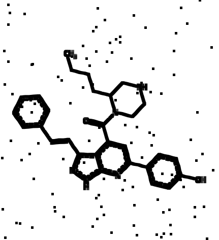 CCCCC1CNCCN1C(=O)c1cc(-c2ccc(O)cc2)nc2[nH]nc(C=Cc3ccccc3)c12